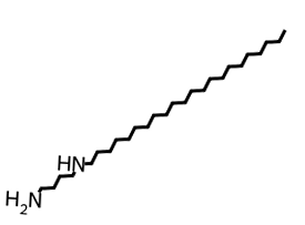 CCCCCCCCCCCCCCCCCCCCCCNCCCCN